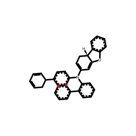 C1=CCC(c2ccc(N(C3=CC[C@H]4C(=C3)Oc3ccccc34)c3ccccc3-c3ccccc3)cc2)C=C1